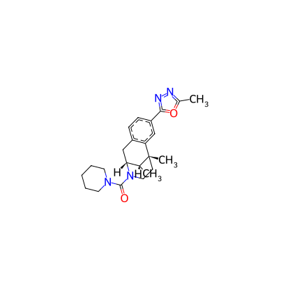 Cc1nnc(-c2ccc3c(c2)[C@]2(C)CCN(C(=O)N4CCCCC4)[C@H](C3)[C@H]2C)o1